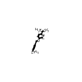 CC#CCOc1ccc(C(C)C)nc1